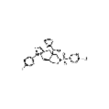 O=C(c1nccs1)C12Cc3cnn(-c4ccc(F)cc4)c3C=C1CCN(S(=O)(=O)c1ccc(Cl)nc1)C2